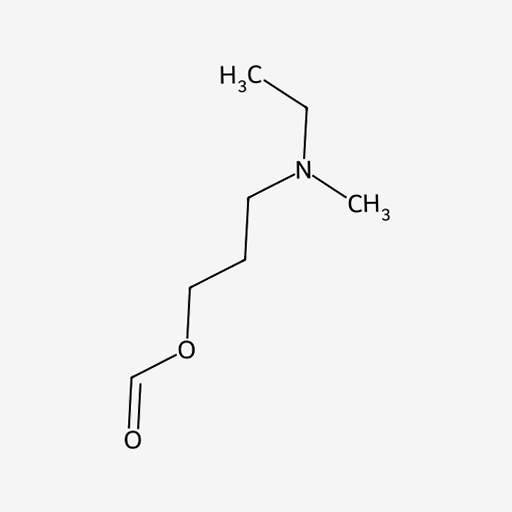 CCN(C)CCCOC=O